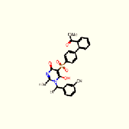 CCCCc1nc(=O)c(S(=O)(=O)c2ccc(-c3ccccc3C(=O)OC)cc2)c(O)n1C(CC)c1cccc(C#N)c1